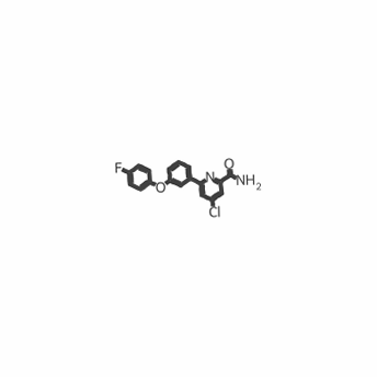 NC(=O)c1cc(Cl)cc(-c2cccc(Oc3ccc(F)cc3)c2)n1